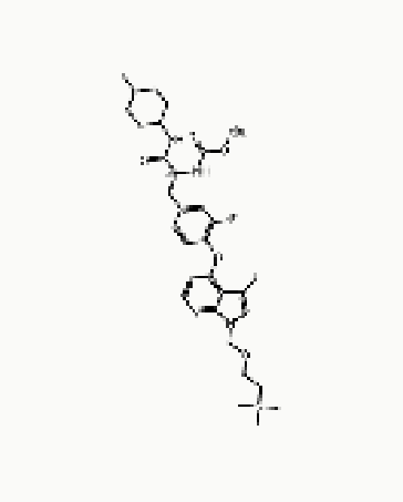 CN1CCC(NC(=O)[C@H](Cc2ccc(Oc3ccnc4c3c(I)cn4COCC[Si](C)(C)C)c(F)c2)NC(=O)OC(C)(C)C)CC1